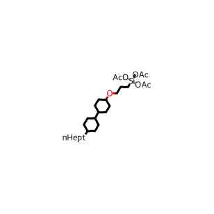 CCCCCCCC1CCC(C2CCC(OCCC[Si](OC(C)=O)(OC(C)=O)OC(C)=O)CC2)CC1